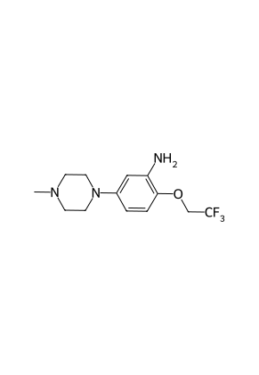 CN1CCN(c2ccc(OCC(F)(F)F)c(N)c2)CC1